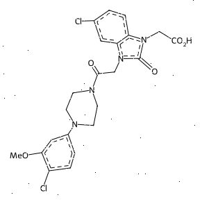 COc1cc(N2CCN(C(=O)Cn3c(=O)n(CC(=O)O)c4ccc(Cl)cc43)CC2)ccc1Cl